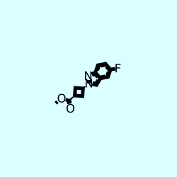 COC(=O)[C@H]1C[C@H](n2cc3cc(F)ccc3n2)C1